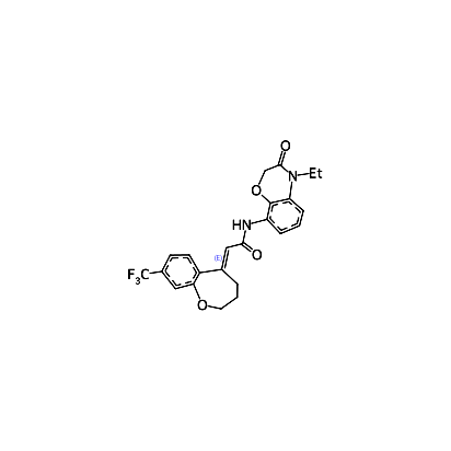 CCN1C(=O)COc2c(NC(=O)/C=C3\CCCOc4cc(C(F)(F)F)ccc43)cccc21